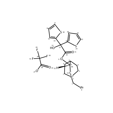 CC(C)C[N+]12CCC(CC1)[C@@H](OC(=O)C(O)(c1cccs1)c1cccs1)C2.O=C([O-])C(F)(F)F